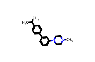 CC(C)c1ccc(-c2cccc(N3CCN(C)CC3)c2)cc1